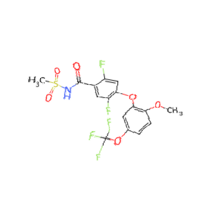 COc1ccc(OC(F)(F)F)cc1Oc1cc(F)c(C(=O)NS(C)(=O)=O)cc1F